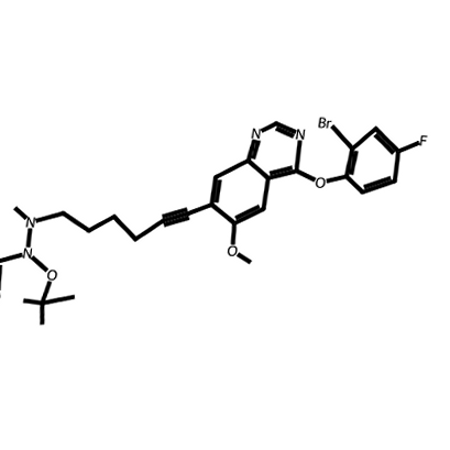 COc1cc2c(Oc3ccc(F)cc3Br)ncnc2cc1C#CCCCCN(C)N(C=O)OC(C)(C)C